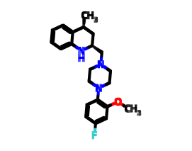 COc1cc(F)ccc1N1CCN(C[C@@H]2C[C@H](C)c3ccccc3N2)CC1